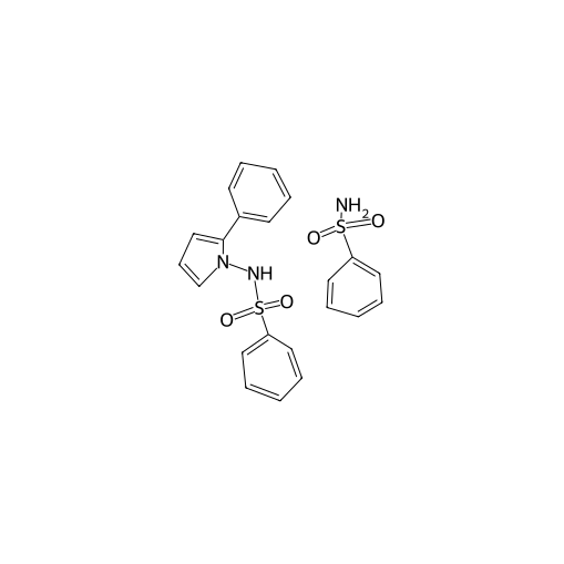 NS(=O)(=O)c1ccccc1.O=S(=O)(Nn1cccc1-c1ccccc1)c1ccccc1